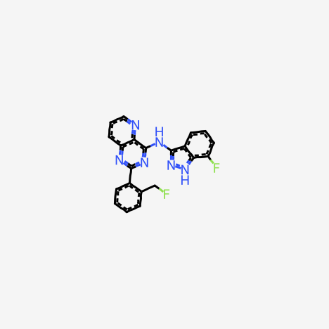 FCc1ccccc1-c1nc(Nc2n[nH]c3c(F)cccc23)c2ncccc2n1